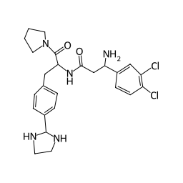 NC(CC(=O)NC(Cc1ccc(C2NCCN2)cc1)C(=O)N1CCCC1)c1ccc(Cl)c(Cl)c1